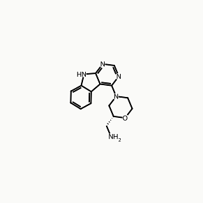 NC[C@@H]1CN(c2ncnc3[nH]c4ccccc4c23)CCO1